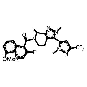 COc1cccc2c(C(=O)N3CCc4c(nn(C)c4-c4cc(C(F)(F)F)nn4C)C3C)c(F)cnc12